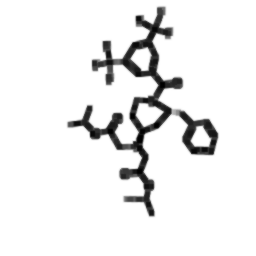 CC(C)OC(=O)CN(CC(=O)OC(C)C)[C@H]1CCN(C(=O)c2cc(C(F)(F)F)cc(C(F)(F)F)c2)[C@H](Cc2ccccc2)C1